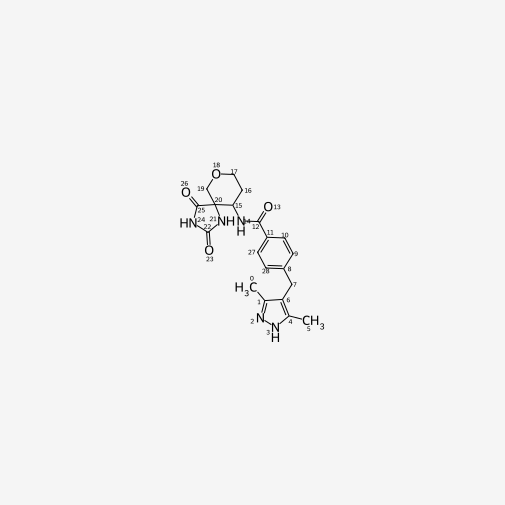 Cc1n[nH]c(C)c1Cc1ccc(C(=O)NC2CCOCC23NC(=O)NC3=O)cc1